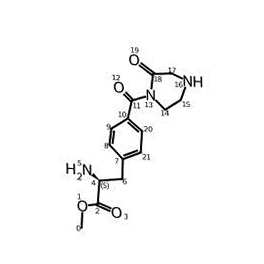 COC(=O)[C@@H](N)Cc1ccc(C(=O)N2CCNCC2=O)cc1